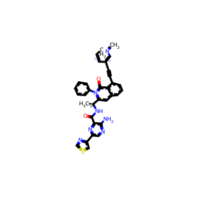 C=N/C=C(C#Cc1cccc2cc([C@H](C)NC(=O)c3nc(-c4cscn4)cnc3N)n(-c3ccccc3)c(=O)c12)\C=C/C